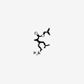 CC(C(=O)OCC(C)C)=C(CCN)CC(C)C